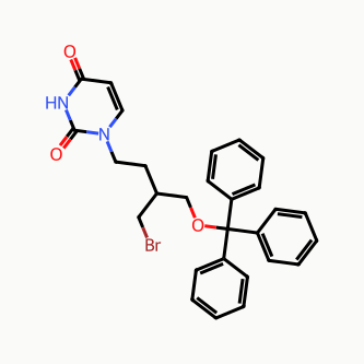 O=c1ccn(CCC(CBr)COC(c2ccccc2)(c2ccccc2)c2ccccc2)c(=O)[nH]1